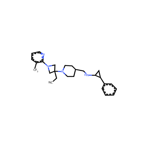 N#CCC1(N2CCC(CNC3CC3c3ccccc3)CC2)CN(c2ncccc2C(F)(F)F)C1